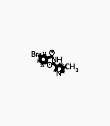 Cc1cncc(C2NC(=O)c3cc(Br)ccc3O2)c1